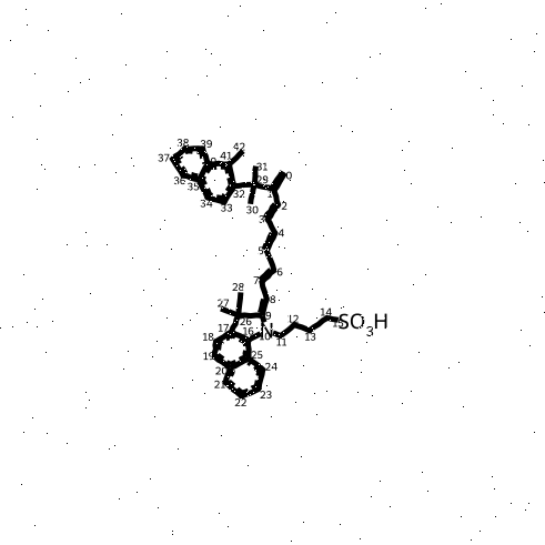 C=C(/C=C/C=C/C=C/C=C1/N(CCCCS(=O)(=O)O)c2c(ccc3ccccc23)C1(C)C)C(C)(C)c1ccc2ccccc2c1C